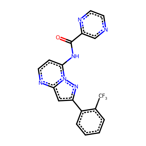 O=C(Nc1ccnc2cc(-c3ccccc3C(F)(F)F)nn12)c1cnccn1